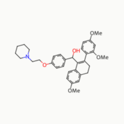 COc1ccc2c(c1)CCC(c1ccc(OC)cc1OC)=C2C(O)c1ccc(OCCN2CCCCC2)cc1